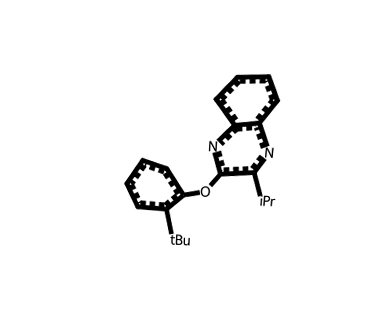 CC(C)c1nc2ccccc2nc1Oc1ccccc1C(C)(C)C